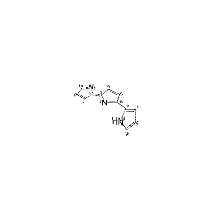 C1=CC(=C2C=CC(c3ccc[nH]3)=N2)N=C1